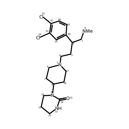 CNCC(CCN1CCC(N2CCCNC2=O)CC1)c1ccc(Cl)c(Cl)c1